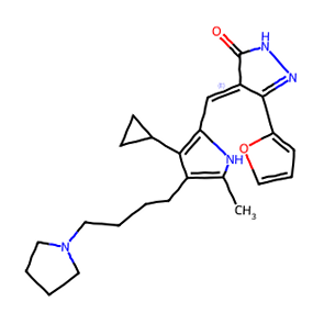 Cc1[nH]c(/C=C2/C(=O)NN=C2c2ccco2)c(C2CC2)c1CCCCN1CCCC1